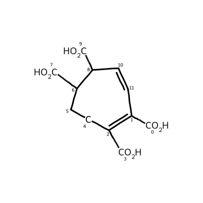 O=C(O)C1=C(C(=O)O)CCC(C(=O)O)C(C(=O)O)C=C1